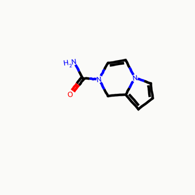 NC(=O)N1C=Cn2cccc2C1